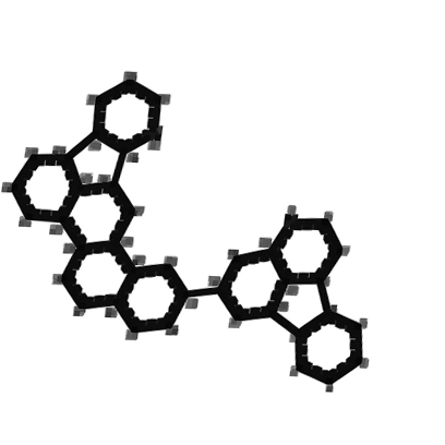 c1ccc2c(c1)-c1ccnc3cc(-c4ccc5ccc6c7cccc8c7c(cc6c5c4)-c4ncccc4-8)cc-2c13